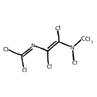 ClC(Cl)=NC(Cl)=C(Cl)N(Cl)C(Cl)(Cl)Cl